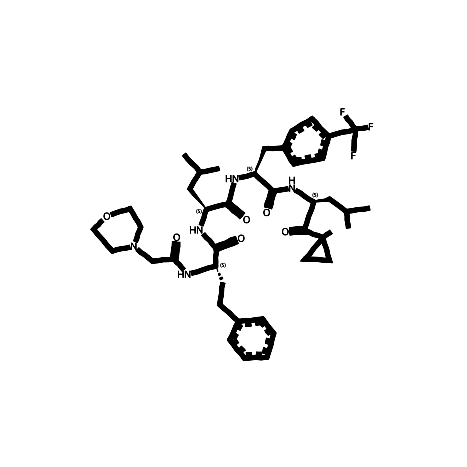 CC(C)C[C@H](NC(=O)[C@H](CCc1ccccc1)NC(=O)CN1CCOCC1)C(=O)N[C@@H](Cc1ccc(C(F)(F)F)cc1)C(=O)N[C@@H](CC(C)C)C(=O)C1(C)CC1